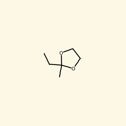 CCC1(C)O[CH]CO1